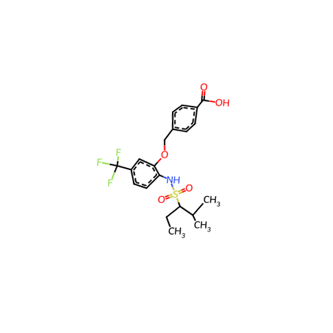 CCC(C(C)C)S(=O)(=O)Nc1ccc(C(F)(F)F)cc1OCc1ccc(C(=O)O)cc1